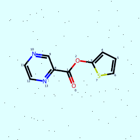 O=C(Oc1cccs1)c1cnccn1